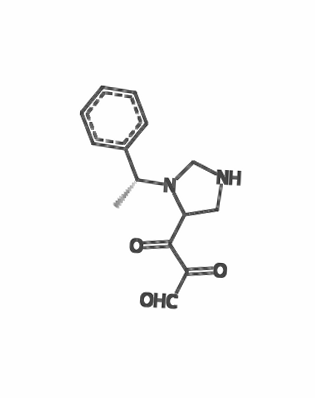 C[C@H](c1ccccc1)N1CNCC1C(=O)C(=O)C=O